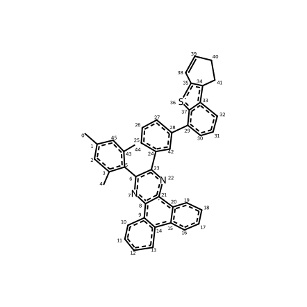 Cc1cc(C)c(-c2nc3c4ccccc4c4ccccc4c3nc2-c2cccc(-c3cccc4c5c(sc34)C=CCC5)c2)c(C)c1